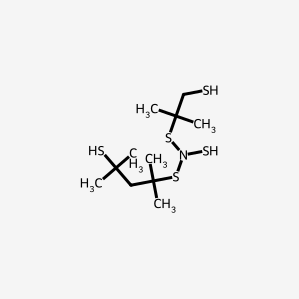 CC(C)(S)CC(C)(C)SN(S)SC(C)(C)CS